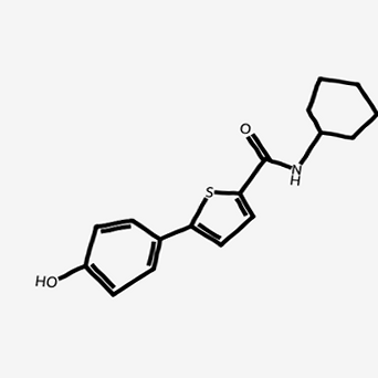 O=C(NC1CCCCC1)c1ccc(-c2ccc(O)cc2)s1